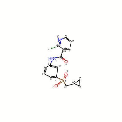 O=C(Nc1cccc(S(=O)(=O)CC2CC2)c1)c1cccnc1F